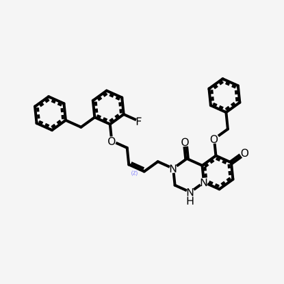 O=C1c2c(OCc3ccccc3)c(=O)ccn2NCN1C/C=C\COc1c(F)cccc1Cc1ccccc1